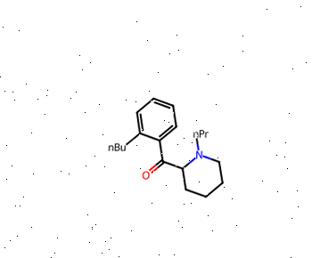 CCCCc1ccccc1C(=O)C1CCCCN1CCC